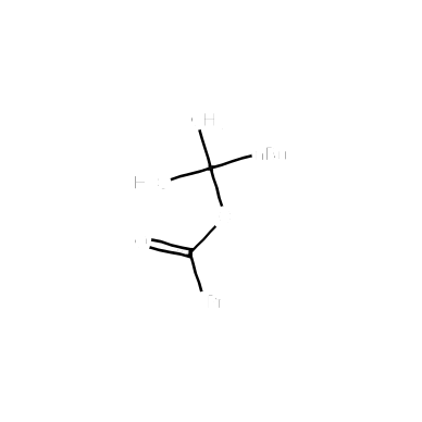 CCCCC(C)(C)OC(=O)C(C)C